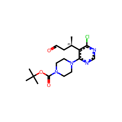 C[C@H](CC=O)c1c(Cl)ncnc1N1CCN(C(=O)OC(C)(C)C)CC1